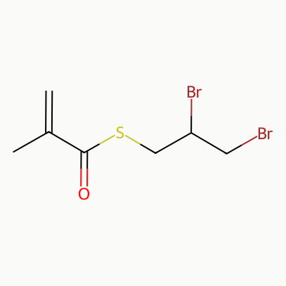 C=C(C)C(=O)SCC(Br)CBr